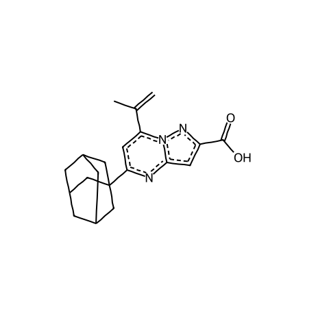 C=C(C)c1cc(C23CC4CC(CC(C4)C2)C3)nc2cc(C(=O)O)nn12